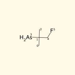 CC(C)([AsH2])CF